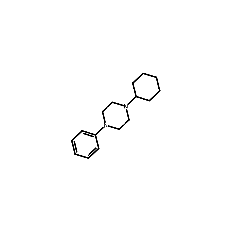 c1ccc(N2CCN(C3CCCCC3)CC2)cc1